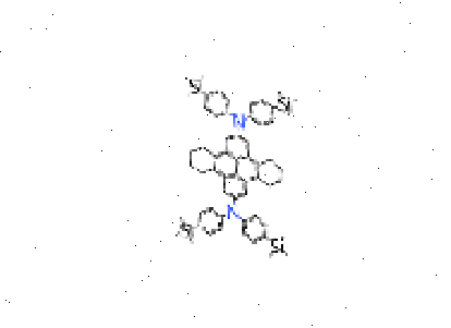 C[Si](C)(C)c1ccc(N(c2ccc([Si](C)(C)C)cc2)c2cc3c4c(c5cc(N(c6ccc([Si](C)(C)C)cc6)c6ccc([Si](C)(C)C)cc6)cc6c7c(c(c2)c3c56)CCCC7)CCCC4)cc1